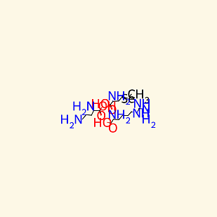 C[Se]CCC(N)C(=O)O.N=C(N)NCCCCC(N)C(=O)O.NCCCC(N)C(=O)O